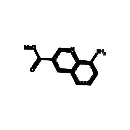 Bc1cccc2cc(C(=O)OC)cnc12